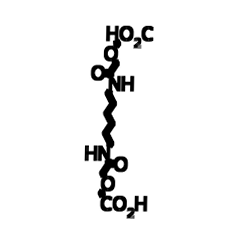 O=C(O)COCC(=O)NCCCCCCNC(=O)COCC(=O)O